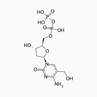 Nc1nc(=O)n([C@H]2C[C@H](O)[C@@H](COP(=O)(O)OP(=O)(O)O)O2)cc1CO